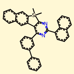 C[Si]1(C)c2cc3ccccc3cc2-c2c(-c3cccc(-c4ccccc4)c3)nc(-c3cccc4ccccc34)nc21